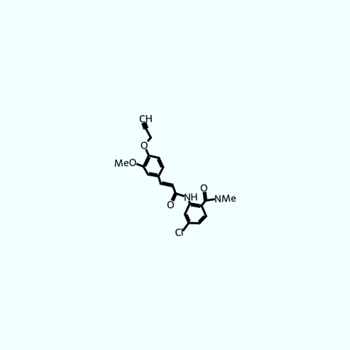 C#CCOc1ccc(/C=C/C(=O)Nc2cc(Cl)ccc2C(=O)NC)cc1OC